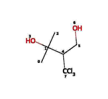 CC(C)(O)C(CO)C(Cl)(Cl)Cl